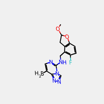 Bc1cnc(NCc2c(F)ccc3c2CC(OC)O3)n2cnnc12